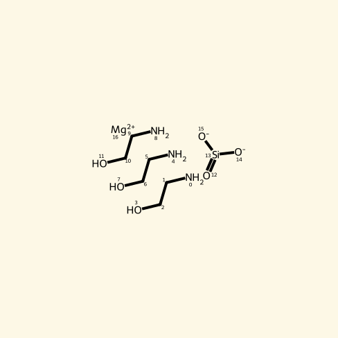 NCCO.NCCO.NCCO.O=[Si]([O-])[O-].[Mg+2]